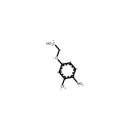 O=C(O)COc1ccc([N+](=O)[O-])c(C(F)(F)F)c1